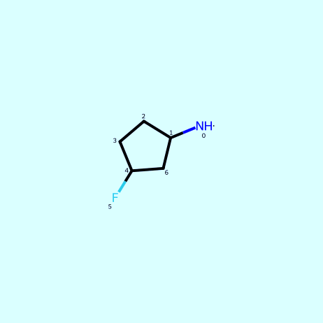 [NH]C1CCC(F)C1